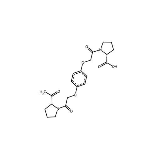 CC(=O)[C@H]1CCCN1C(=O)COc1ccc(OCC(=O)N2CCC[C@@H]2C(=O)O)cc1